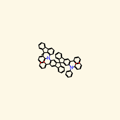 CC12c3ccccc3-c3cccc(c31)N(c1cc3c(cc1-c1ccccc1)-c1ccccc1C31c3ccccc3-c3cc(-c4ccccc4)c(N(c4ccccc4)c4ccccc4)cc31)c1ccccc12